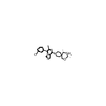 Cc1nc(N2CCC3(CC2)CO[C@@H](C)[SiH2][C@H]3C)c2cncn2c1-c1cccc(Cl)c1